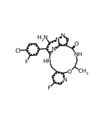 CC1CNC(=O)c2cnn3c(N)c(-c4ccc(Cl)c(F)c4)c(nc23)NCc2cc(F)cnc2O1